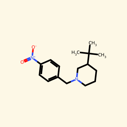 CC(C)(C)C1CCCN(Cc2ccc([N+](=O)[O-])cc2)C1